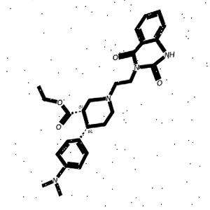 CCOC(=O)[C@@H]1CN(CCn2c(=O)[nH]c3ccccc3c2=O)CC[C@@H]1c1ccc(N(C)C)cc1